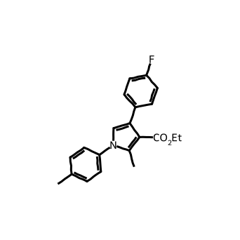 CCOC(=O)c1c(-c2ccc(F)cc2)cn(-c2ccc(C)cc2)c1C